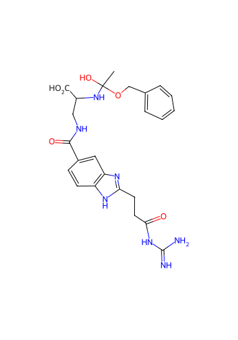 CC(O)(NC(CNC(=O)c1ccc2[nH]c(CCC(=O)NC(=N)N)nc2c1)C(=O)O)OCc1ccccc1